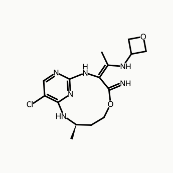 C/C(NC1COC1)=C1\Nc2ncc(Cl)c(n2)N[C@H](C)CCOC1=N